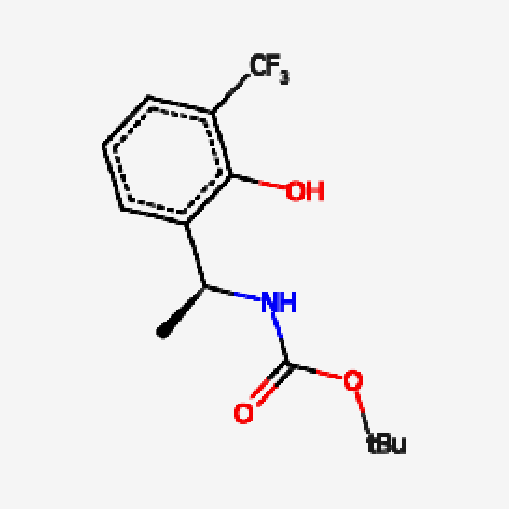 C[C@H](NC(=O)OC(C)(C)C)c1cccc(C(F)(F)F)c1O